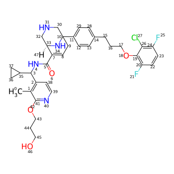 Cc1c(C(NC(=O)C2=CCC3(c4ccc(CCCOc5c(F)ccc(F)c5Cl)cc4)CNC[C@H]2N3)C2CC2)ccnc1OCCCO